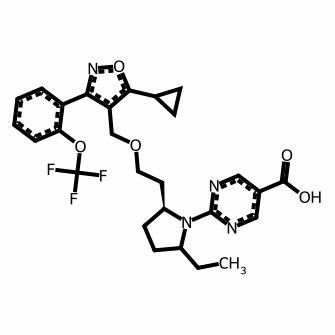 CCC1CC[C@@H](CCOCc2c(-c3ccccc3OC(F)(F)F)noc2C2CC2)N1c1ncc(C(=O)O)cn1